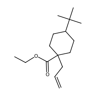 C=CCC1(C(=O)OCC)CCC(C(C)(C)C)CC1